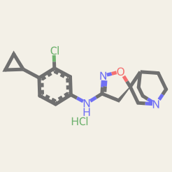 Cl.Clc1cc(NC2=NO[C@@]3(C2)CN2CCC3CC2)ccc1C1CC1